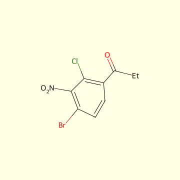 CCC(=O)c1ccc(Br)c([N+](=O)[O-])c1Cl